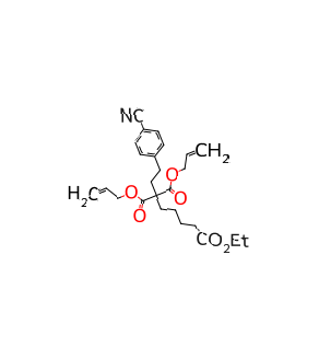 C=CCOC(=O)C(CCCCC(=O)OCC)(CCc1ccc(C#N)cc1)C(=O)OCC=C